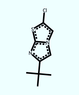 CC(C)(C)c1cn2cc(Cl)sc2n1